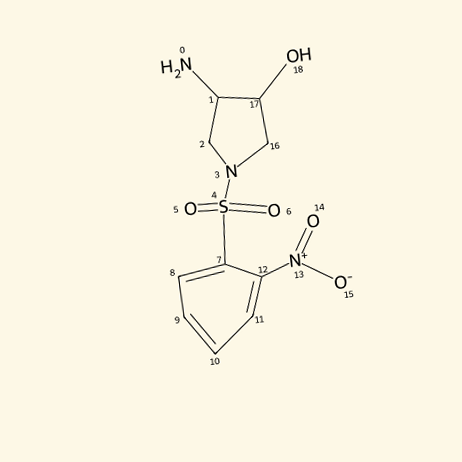 NC1CN(S(=O)(=O)c2ccccc2[N+](=O)[O-])CC1O